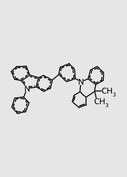 CC1(C)c2ccccc2N(c2cccc(-c3ccc4c(c3)c3ccccc3n4-c3ccccc3)c2)C2C=CC=CC21